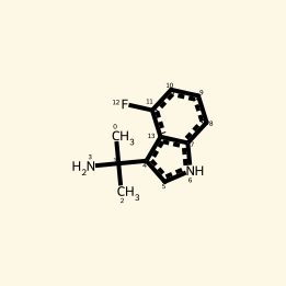 CC(C)(N)c1c[nH]c2cccc(F)c12